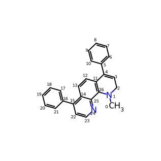 CN1CC=C(c2ccccc2)c2ccc3c(-c4ccccc4)ccnc3c21